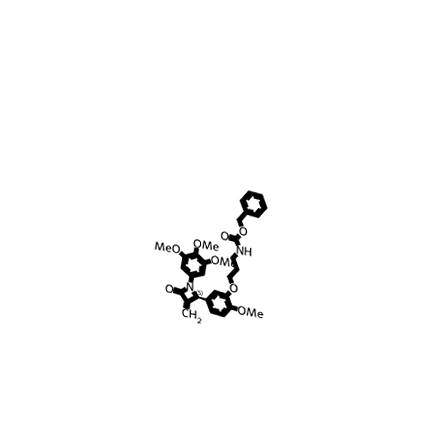 C=C1C(=O)N(c2cc(OC)c(OC)c(OC)c2)[C@H]1c1ccc(OC)c(OCCCNC(=O)OCc2ccccc2)c1